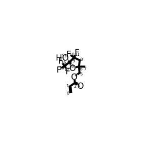 C=CC(=O)OCC1(C)CC(F)(F)C(O)(C(F)(F)F)O1